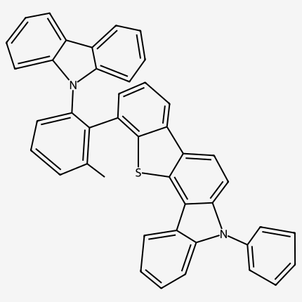 Cc1cccc(-n2c3ccccc3c3ccccc32)c1-c1cccc2c1sc1c2ccc2c1c1ccccc1n2-c1ccccc1